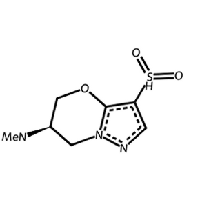 CN[C@H]1COc2c([SH](=O)=O)cnn2C1